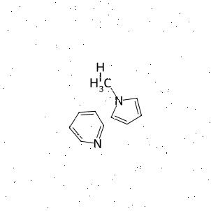 Cn1cccc1.I.c1ccncc1